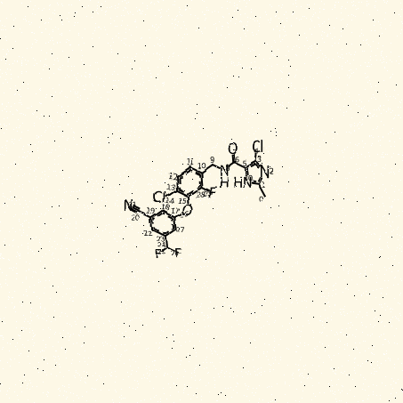 Cc1nc(Cl)c(C(=O)NCc2ccc(Cl)c(Oc3cc(C#N)cc(C(F)F)c3)c2F)[nH]1